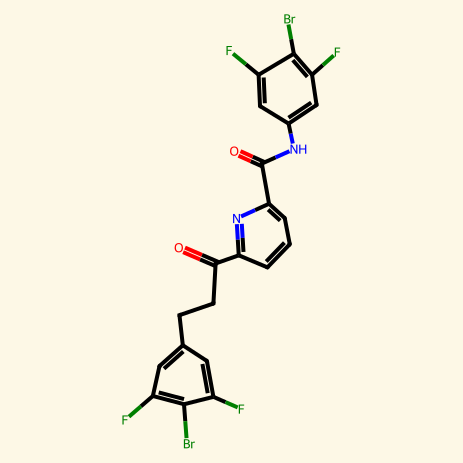 O=C(CCc1cc(F)c(Br)c(F)c1)c1cccc(C(=O)Nc2cc(F)c(Br)c(F)c2)n1